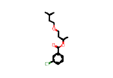 CC(C)CCOCCC(C)OC(=O)c1cccc(Cl)c1